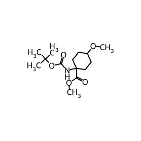 COC(=O)C1(NC(=O)OC(C)(C)C)CCC(OC)CC1